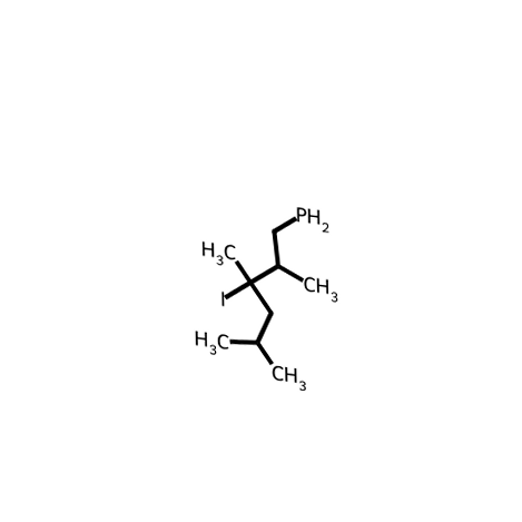 CC(C)CC(C)(I)C(C)CP